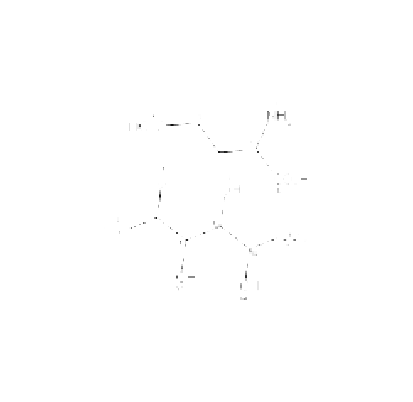 NC(CCC(=O)O)C(=O)O.O=CC(O)C(O)C(O)C(O)C(=O)O